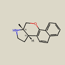 C[C@@]12COc3c(ccc4ccccc34)[C@@H]1CCN2